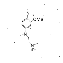 COc1cc(N(C)CCN(C)C(C)C)ccc1N